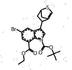 CCOC(=O)c1cc(Br)cc2c(C3CC4CC3=CS4)cn(C(=O)OC(C)(C)C)c12